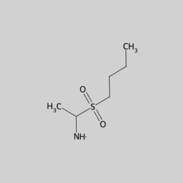 CCCCS(=O)(=O)C(C)[NH]